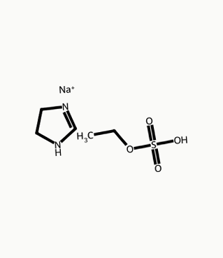 C1=NCCN1.CCOS(=O)(=O)O.[Na+]